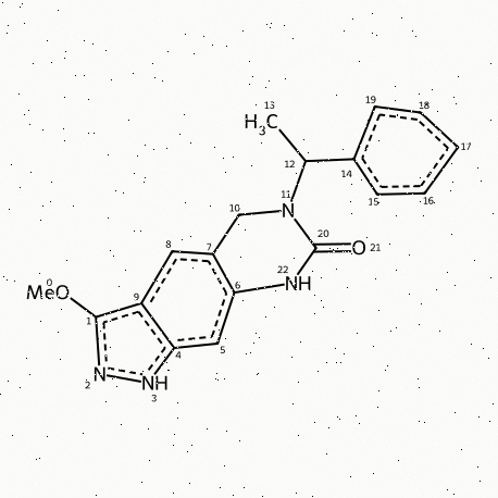 COc1n[nH]c2cc3c(cc12)CN(C(C)c1ccccc1)C(=O)N3